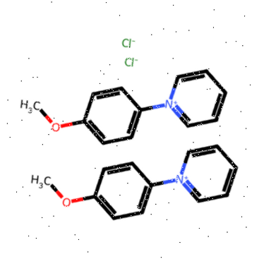 COc1ccc(-[n+]2ccccc2)cc1.COc1ccc(-[n+]2ccccc2)cc1.[Cl-].[Cl-]